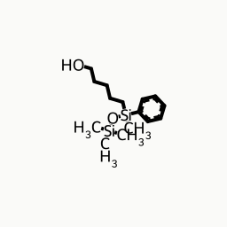 C[Si](C)(C)O[Si](C)(CCCCCO)c1ccccc1